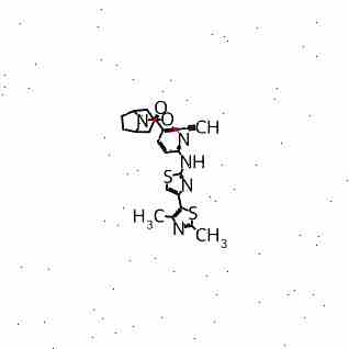 C#CCOC1CC2CCC(C1)N2C(=O)c1ccc(Nc2nc(-c3sc(C)nc3C)cs2)nc1